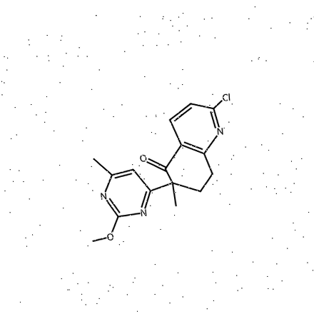 COc1nc(C)cc(C2(C)CCc3nc(Cl)ccc3C2=O)n1